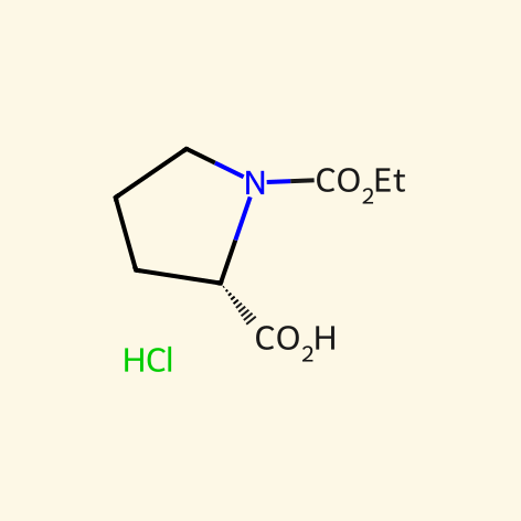 CCOC(=O)N1CCC[C@H]1C(=O)O.Cl